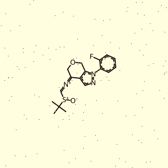 CC(C)(C)[S+]([O-])C=[N+]=C1COCc2c1cnn2-c1ccccc1F